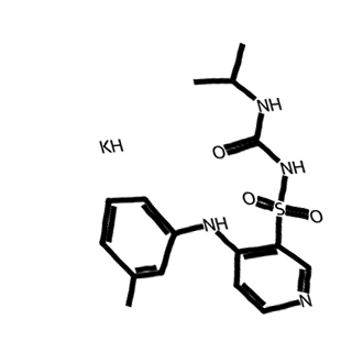 Cc1cccc(Nc2ccncc2S(=O)(=O)NC(=O)NC(C)C)c1.[KH]